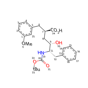 COc1cccc(C[C@H](C[C@H](O)[C@H](Cc2ccccc2)NC(=O)OC(C)(C)C)C(=O)O)c1